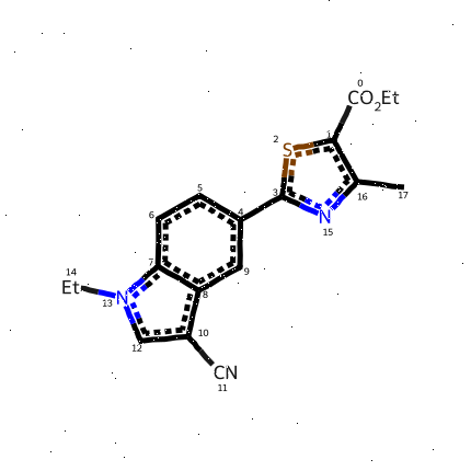 CCOC(=O)c1sc(-c2ccc3c(c2)c(C#N)cn3CC)nc1C